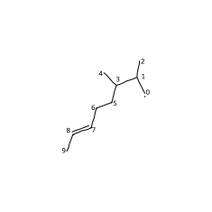 [CH2]C(C)C(C)CCC=CC